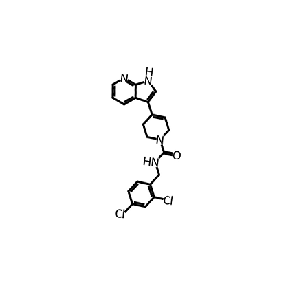 O=C(NCc1ccc(Cl)cc1Cl)N1CC=C(c2c[nH]c3ncccc23)CC1